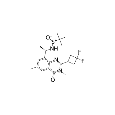 Cc1cc([C@@H](C)N[S+]([O-])C(C)(C)C)c2nc(C3CC(F)(F)C3)n(C)c(=O)c2c1